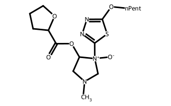 CCCCCOc1nnc([N+]2([O-])CN(C)CC2OC(=O)C2CCCO2)s1